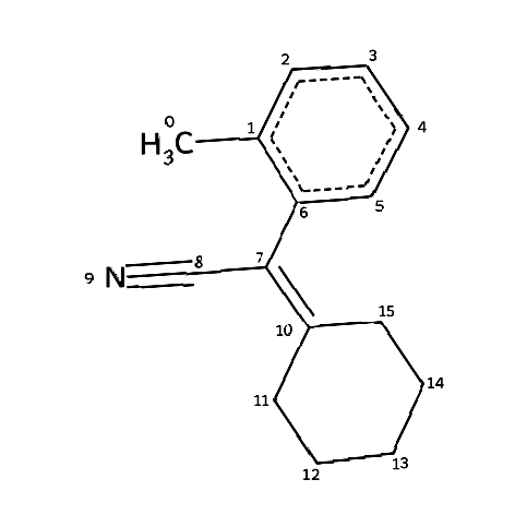 Cc1ccccc1C(C#N)=C1CCCCC1